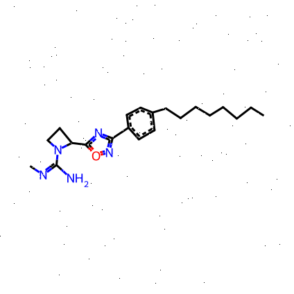 CCCCCCCCc1ccc(-c2noc(C3CCN3/C(N)=N\C)n2)cc1